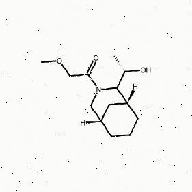 COCC(=O)N1C[C@H]2CCC[C@H](C2)C1[C@H](C)O